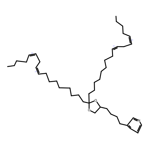 CCCC/C=C\C/C=C\CCCCCCCCC1(CCCCCCCC/C=C\C/C=C\CCCC)OCC(CCCCc2cccnc2)O1